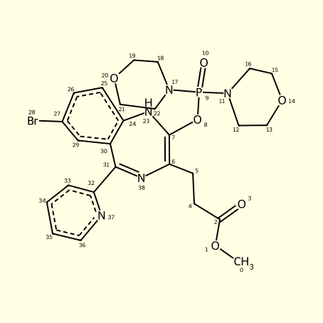 COC(=O)CCC1=C(OP(=O)(N2CCOCC2)N2CCOCC2)Nc2ccc(Br)cc2C(c2ccccn2)=N1